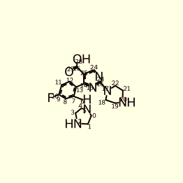 C1CNCCN1.Cc1cc(F)ccc1-c1nc(N2CCNCC2)ncc1C(=O)O